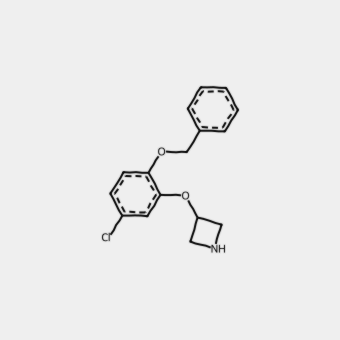 Clc1ccc(OCc2ccccc2)c(OC2CNC2)c1